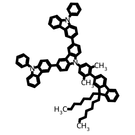 CCCCCCCC1(CCCCCCC)c2ccccc2-c2ccc(-c3c(C)cc(-n4c5ccc(-c6ccc7c(c6)c6ccccc6n7-c6ccccc6)cc5c5cc(-c6ccc7c(c6)c6ccccc6n7-c6ccccc6)ccc54)cc3C)cc21